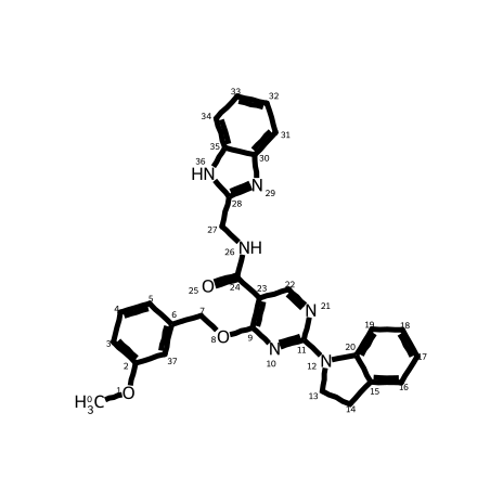 COc1cccc(COc2nc(N3CCc4ccccc43)ncc2C(=O)NCc2nc3ccccc3[nH]2)c1